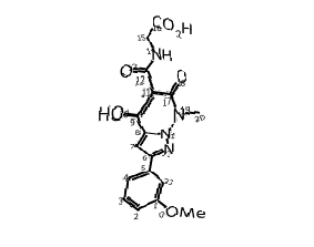 COc1cccc(-c2cc3c(O)c(C(=O)NCC(=O)O)c(=O)n(C)n3n2)c1